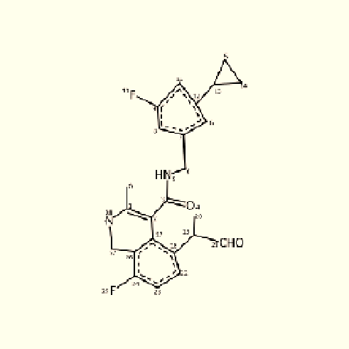 CC1=C(C(=O)NCc2cc(F)cc(C3CC3)c2)c2c(C(C)C=O)ccc(F)c2C[N]1